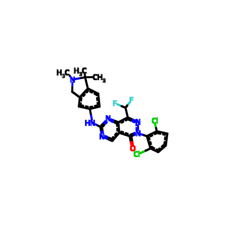 CN1Cc2cc(Nc3ncc4c(=O)n(-c5c(Cl)cccc5Cl)nc(C(F)F)c4n3)ccc2C1(C)C